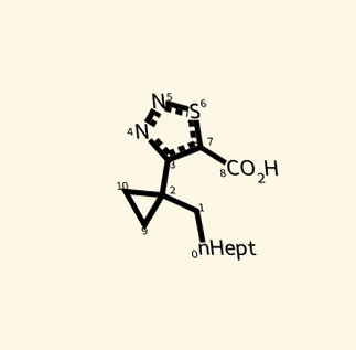 CCCCCCCCC1(c2nnsc2C(=O)O)CC1